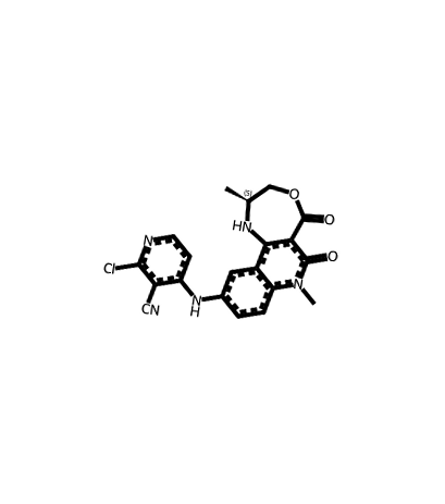 C[C@H]1COC(=O)c2c(c3cc(Nc4ccnc(Cl)c4C#N)ccc3n(C)c2=O)N1